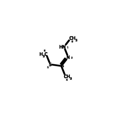 CN/N=C(/C)SC